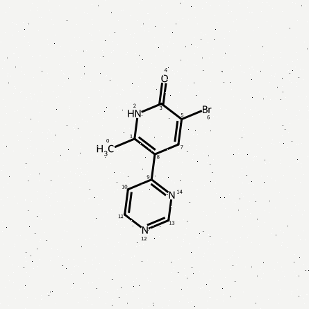 Cc1[nH]c(=O)c(Br)cc1-c1ccncn1